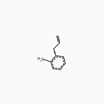 C=CCc1ccccc1[SiH2]